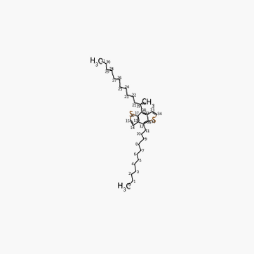 CCCCCCCCCCCCc1c2ccsc2c(C(C)CCCCCCCCCCC)c2ccsc12